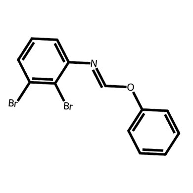 Brc1cccc(N=COc2ccccc2)c1Br